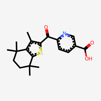 Cc1c(C(=O)c2ccc(C(=O)O)cn2)sc2c1C(C)(C)CCC2(C)C